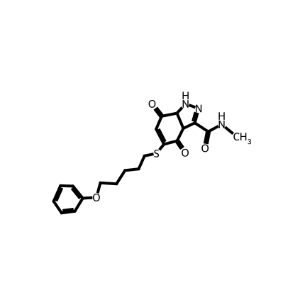 CNC(=O)C1=NNC2C(=O)C=C(SCCCCCOc3ccccc3)C(=O)C12